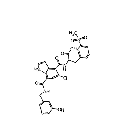 CS(=O)(=O)c1cccc(CC(NC(=O)c2c(Cl)cc(C(=O)NCc3cccc(O)c3)c3[nH]ccc23)C(=O)O)c1